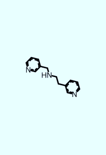 c1cncc(CCNCc2cccnc2)c1